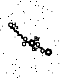 CCCCCCCCOC(=O)c1cc(Br)c(OCCOc2ccccc2)c(Br)c1